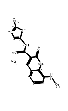 CNc1cccc2cc(C(=O)Nc3cnc(N)s3)c(=O)[nH]c12.Cl